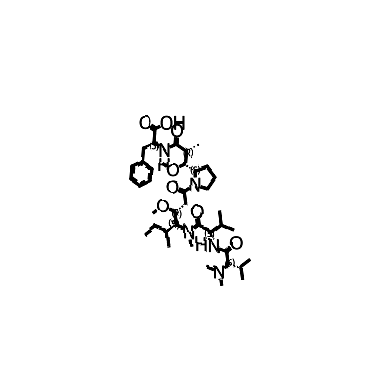 CCC(C)[C@@H]([C@@H](CC(=O)N1CCC[C@H]1C(OC)[C@@H](C)C(=O)N[C@@H](Cc1ccccc1)C(=O)O)OC)N(C)C(=O)[C@@H](NC(=O)[C@H](C(C)C)N(C)C)C(C)C